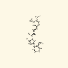 COc1ccc(/C=N/N=C(\C)c2sc(-c3ccccc3OC)nc2C)cc1O